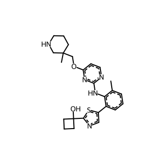 Cc1cccc(-c2cnc(C3(O)CCC3)s2)c1Nc1nccc(OCC2(C)CCCNC2)n1